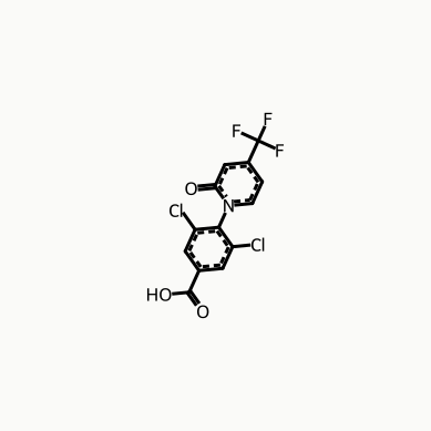 O=C(O)c1cc(Cl)c(-n2ccc(C(F)(F)F)cc2=O)c(Cl)c1